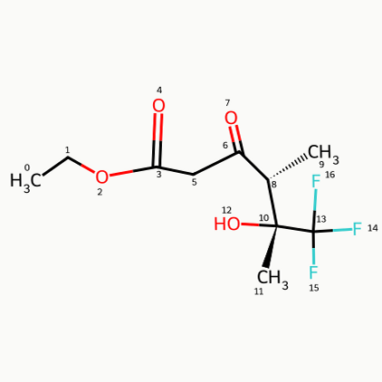 CCOC(=O)CC(=O)[C@H](C)[C@@](C)(O)C(F)(F)F